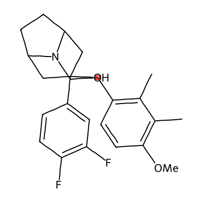 COc1ccc(CCN2C3CCC2CC(O)(c2ccc(F)c(F)c2)C3)c(C)c1C